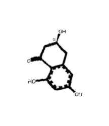 O=C1C[C@@H](O)Cc2cc(O)cc(O)c21